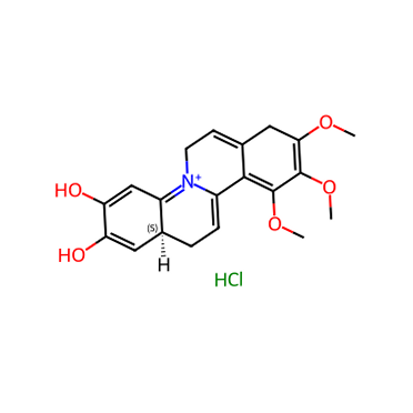 COC1=C(OC)C(OC)=C2C(=CC[N+]3=C4C=C(O)C(O)=C[C@@H]4CC=C23)C1.Cl